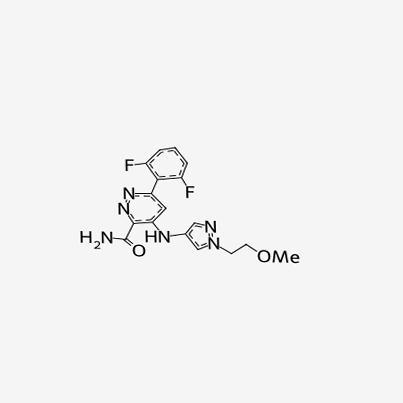 COCCn1cc(Nc2cc(-c3c(F)cccc3F)nnc2C(N)=O)cn1